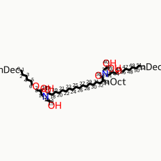 CCCCCCCCCCCCCCCCOCC(O)CN(CCO)C(=O)CCCCCCCCCCCCCCCC(CCCCCCCC)C(=O)N(CCO)CC(O)COCCCCCCCCCCCCCCCC